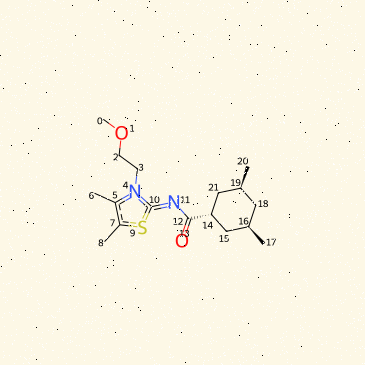 COCCn1c(C)c(C)s/c1=N\C(=O)[C@H]1C[C@H](C)C[C@H](C)C1